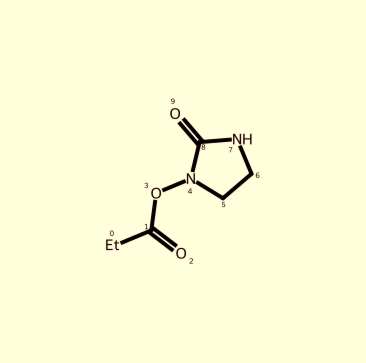 CCC(=O)ON1CCNC1=O